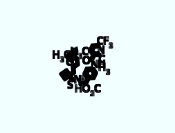 Cc1cc(C(F)(F)F)nc(C)c1C(=O)Nc1ccc(C[C@H](NC(=S)C2(CCCCS(C)(=O)=O)CCC2)C(=O)O)cc1